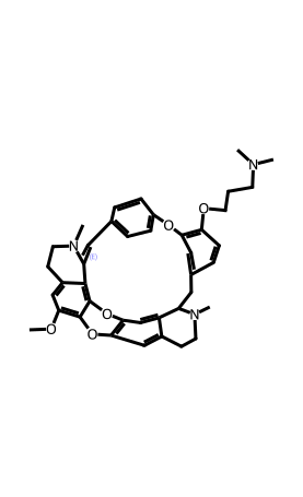 COc1cc2c3c4c1Oc1cc5c(cc1O4)C(Cc1ccc(OCCCN(C)C)c(c1)Oc1ccc(cc1)/C=C\3N(C)CC2)N(C)CC5